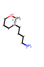 NCCCC[SiH]1CCCO[SiH2]1